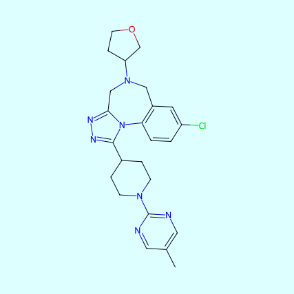 Cc1cnc(N2CCC(c3nnc4n3-c3ccc(Cl)cc3CN(C3CCOC3)C4)CC2)nc1